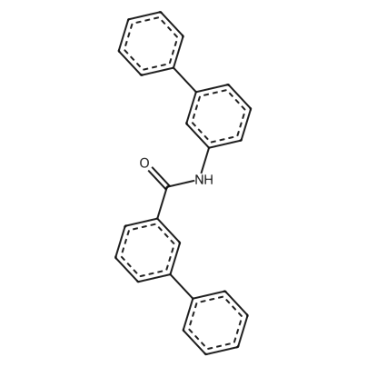 O=C(Nc1cccc(-c2ccccc2)c1)c1cccc(-c2ccccc2)c1